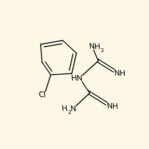 Clc1ccccc1.N=C(N)NC(=N)N